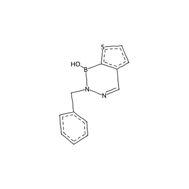 OB1c2sccc2C=NN1Cc1ccccc1